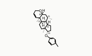 Cc1ccc(O[C@H]2CC[C@H]3[C@@H]4[C@@H](C)C[C@H]5OCC=C[C@]5(C)[C@H]4CC[C@]23C)cc1